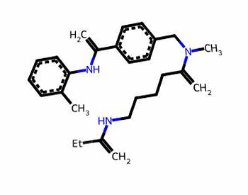 C=C(CC)NCCCCC(=C)N(C)Cc1ccc(C(=C)Nc2ccccc2C)cc1